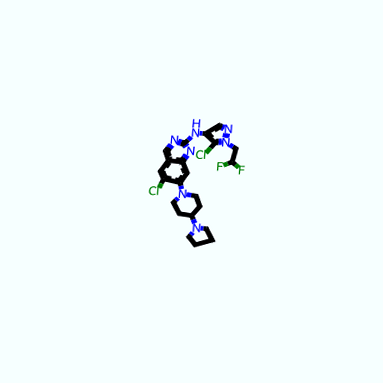 FC(F)Cn1ncc(Nc2ncc3cc(Cl)c(N4CCC(N5CCCC5)CC4)cc3n2)c1Cl